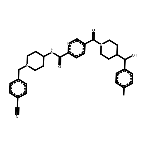 N#Cc1ccc(CN2CCC(NC(=O)c3ccc(C(=O)N4CCC(C(O)c5ccc(F)cc5)CC4)cn3)CC2)cc1